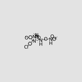 COc1ccc2c(c1)C(c1ccc(Cl)cc1)=N[C@@H]([C@@H](C)C(=O)NCCOCCNC(=O)OC(C)(C)C)c1nnc(C)n1-2